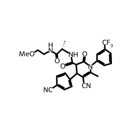 COCCNC(=O)[C@H](C)NC(=O)C1C(=O)N(c2cccc(C(F)(F)F)c2)C(C)=C(C#N)C1c1ccc(C#N)cc1